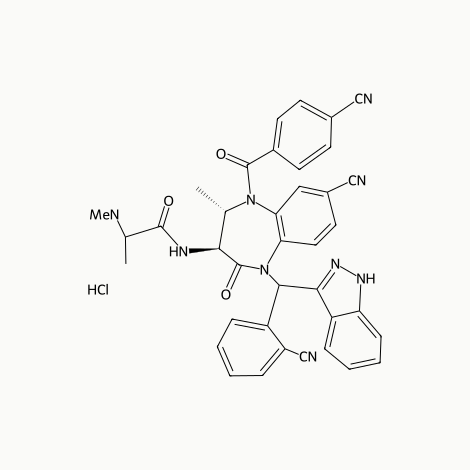 CNC(C)C(=O)N[C@@H]1C(=O)N(C(c2ccccc2C#N)c2n[nH]c3ccccc23)c2ccc(C#N)cc2N(C(=O)c2ccc(C#N)cc2)[C@H]1C.Cl